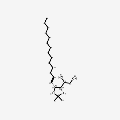 CCCCCCCCCCCCC=C[C@H]1OC(C)(C)O[C@H]1[C@@H](O)CO